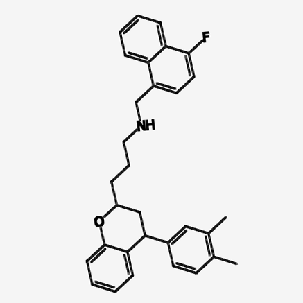 Cc1ccc(C2CC(CCCNCc3ccc(F)c4ccccc34)Oc3ccccc32)cc1C